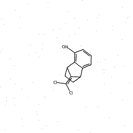 O=Nc1cccc2c1C1CCC2C1=C(Cl)Cl